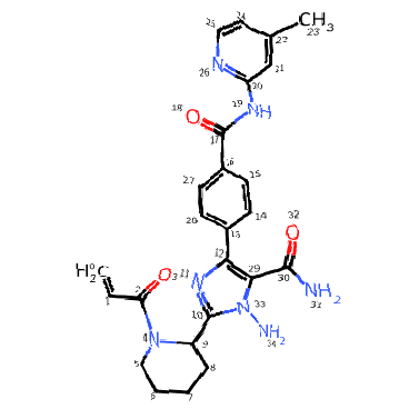 C=CC(=O)N1CCCCC1c1nc(-c2ccc(C(=O)Nc3cc(C)ccn3)cc2)c(C(N)=O)n1N